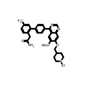 CCN1CCC(COc2cc3ncnc(-c4ccc(-c5cc(C(F)(F)F)ccc5CC(N)=O)cc4)c3cc2OC)CC1